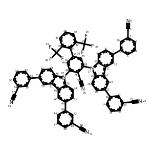 N#Cc1cccc(-c2ccc3c(c2)c2cc(-c4cccc(C#N)c4)ccc2n3-c2cc(-c3c(C(F)(F)F)cccc3C(F)(F)F)cc(-n3c4ccc(-c5cccc(C#N)c5)cc4c4cc(-c5cccc(C#N)c5)ccc43)c2C#N)c1